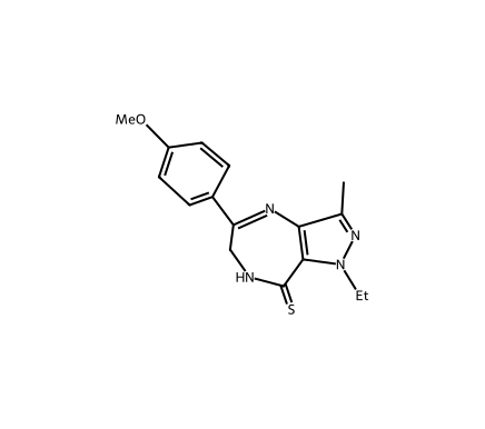 CCn1nc(C)c2c1C(=S)NCC(c1ccc(OC)cc1)=N2